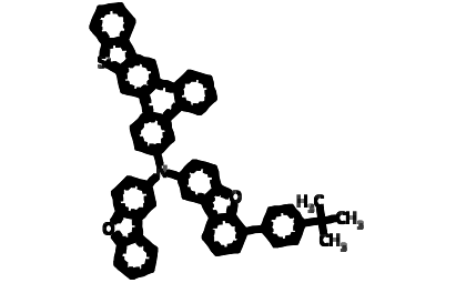 CC(C)(C)c1ccc(-c2cccc3c2oc2ccc(N(c4ccc5oc6ccccc6c5c4)c4ccc5c(c4)c4ccccc4c4cc6c(cc54)sc4ccccc46)cc23)cc1